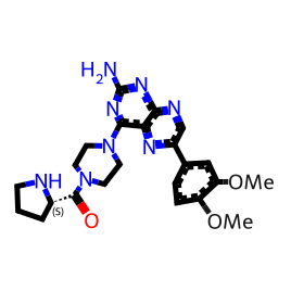 COc1ccc(-c2cnc3nc(N)nc(N4CCN(C(=O)[C@@H]5CCCN5)CC4)c3n2)cc1OC